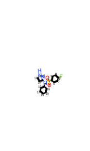 O=S(=O)(c1ccc(F)cc1)N(c1ccccc1)c1cc[nH]n1